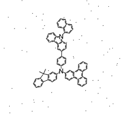 CC1(C)c2ccccc2-c2ccc(N(c3ccc(-c4ccc5c(c4)c4ccccc4n5-c4cccc5ccccc45)cc3)c3ccc4c5ccccc5c5ccccc5c4c3)cc21